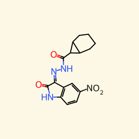 O=C1Nc2ccc([N+](=O)[O-])cc2/C1=N\NC(=O)C1C2CCCCC21